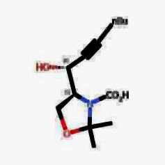 CCCCC#C[C@@H](O)[C@@H]1COC(C)(C)N1C(=O)O